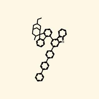 CCC1CC2CC(C)C3(c4ccccc4-c4c(-c5cc(-c6ccc(-c7ccc(-c8ccccc8)cc7)cc6)cc6sc7ccccc7c56)cccc43)C(C1)C2